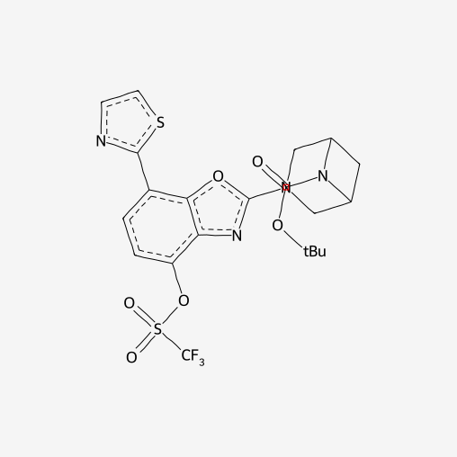 CC(C)(C)OC(=O)N1C2CC1CN(c1nc3c(OS(=O)(=O)C(F)(F)F)ccc(-c4nccs4)c3o1)C2